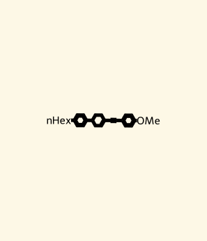 CCCCCCc1ccc(C2CC=C(C#Cc3ccc(OC)cc3)CC2)cc1